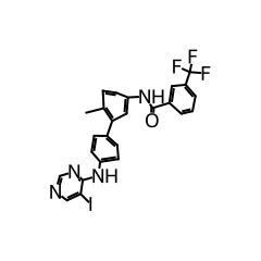 Cc1ccc(NC(=O)c2cccc(C(F)(F)F)c2)cc1-c1ccc(Nc2ncncc2I)cc1